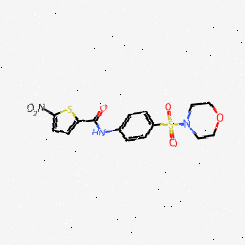 O=C(Nc1ccc(S(=O)(=O)N2CCOCC2)cc1)c1ccc([N+](=O)[O-])s1